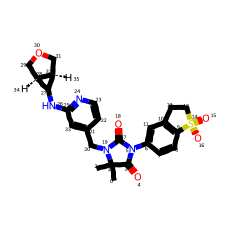 CC1(C)C(=O)N(c2ccc3c(c2)CCS3(=O)=O)C(=O)N1Cc1ccnc(NC2[C@H]3COC[C@@H]23)c1